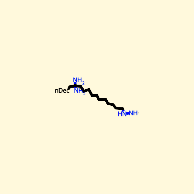 CCCCCCCCCCCC(N)(N)CCCCCCCCCCCN[NH]